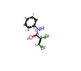 O=C(Nc1ccccc1)C(Br)=CBr